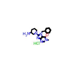 Cl.Cn1cnc2nc(N3CCCC(N)C3)n(Cc3ccccc3)c2c1=O